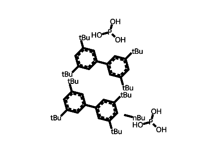 CC(C)(C)c1cc(-c2cc(C(C)(C)C)cc(C(C)(C)C)c2)cc(C(C)(C)C)c1.CC(C)(C)c1cc(-c2cc(C(C)(C)C)cc(C(C)(C)C)c2)cc(C(C)(C)C)c1.CCCCC.OP(O)O.OP(O)O